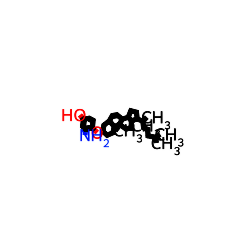 CC(C)CCCC(C)C1CCC2C3C=CC4CC(Oc5ccc(O)cc5N)CCC4(C)C3CCC12C